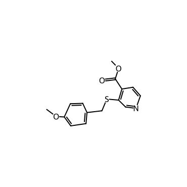 COC(=O)c1ccncc1SCc1ccc(OC)cc1